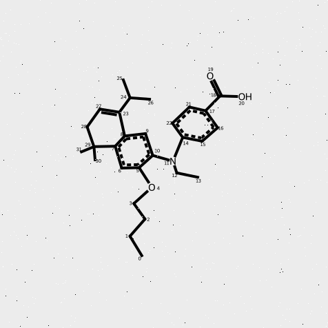 CCCCOc1cc2c(cc1N(CC)c1ccc(C(=O)O)cc1)C(C(C)C)=CCC2(C)C